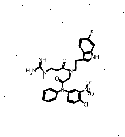 N=C(N)NCCC(=O)N(CCc1c[nH]c2cc(F)ccc12)CC(=O)N(c1ccccc1)c1ccc(Cl)c([N+](=O)[O-])c1